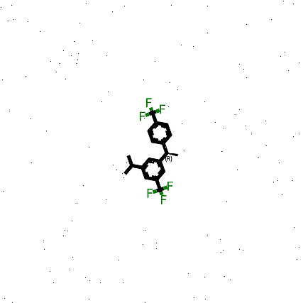 CC(C)c1cc([C@H](C)c2ccc(C(F)(F)F)cc2)cc(C(F)(F)F)c1